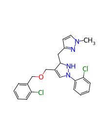 Cn1ccc(CC2NN(c3ccccc3Cl)C=C2COCc2ccccc2Cl)n1